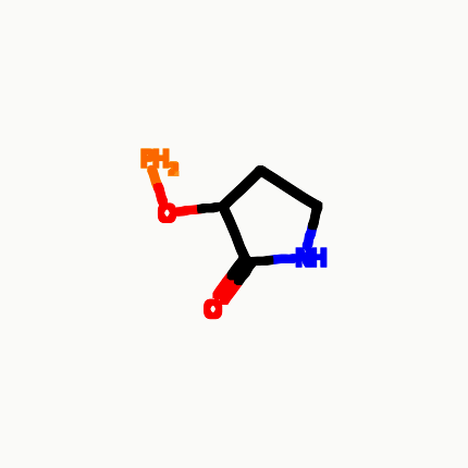 O=C1NCCC1OP